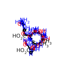 C[C@H](O)[C@H]1NC(=O)[C@@H](Cc2cnc[nH]2)NC(=O)[C@@H](CO)NC(=O)[C@@H](Cc2cnc[nH]2)NC(=O)[C@@H](NC(=O)CC[C@H](NC(=O)c2ccc(NCc3cnc4nc(N)[nH]c(=O)c4n3)cc2)C(=O)O)Cc2cn(nn2)CCCC[C@@H](C(=O)NCC(=O)N[C@@H](Cc2ccccc2)C(=O)N[C@@H](CCCCNC(=O)CON)C(=O)O)NC(=O)[C@@H](C)NC1=O